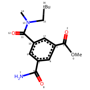 COC(=O)c1cc(C(N)=O)cc(C(=O)N(C)CC(C)(C)C)c1